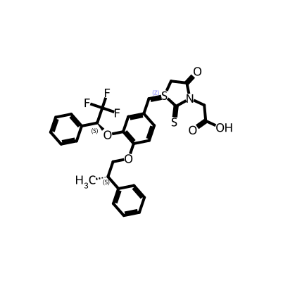 C[C@H](COc1ccc(/C=S2/CC(=O)N(CC(=O)O)C2=S)cc1O[C@@H](c1ccccc1)C(F)(F)F)c1ccccc1